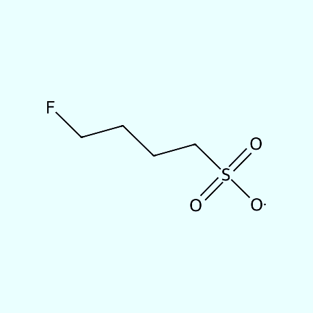 [O]S(=O)(=O)CCCCF